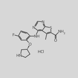 Cc1c(C(N)=O)sc2ncnc(Nc3ccc(F)cc3O[C@H]3CCNC3)c12.Cl